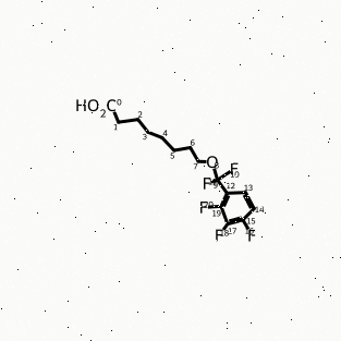 O=C(O)CCCCCCCOC(F)(F)c1ccc(F)c(F)c1F